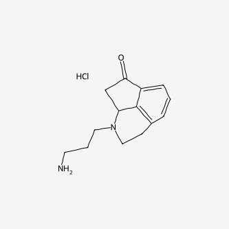 Cl.NCCCN1CCc2cccc3c2C1CC3=O